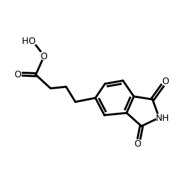 O=C(CCCc1ccc2c(c1)C(=O)NC2=O)OO